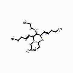 N#CCC/C=C/C(OCCC#N)C(OCCC#N)C(/C=C/CCC#N)OCCC#N